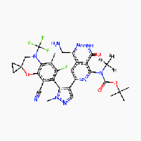 [2H]C([2H])([2H])N(C(=O)OC(C)(C)C)c1nc(-c2cnn(C)c2-c2c(F)c(C)c3c(c2C#N)OC2(CC2)CN3C(F)(F)F)cc2c(CN)n[nH]c(=O)c12